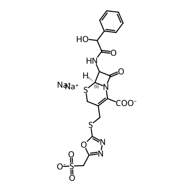 O=C([O-])C1=C(CSc2nnc(CS(=O)(=O)[O-])o2)CS[C@H]2C(NC(=O)C(O)c3ccccc3)C(=O)N12.[Na+].[Na+]